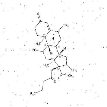 CCCC(=O)O[C@]1(C(C)=O)C(C)C[C@H]2[C@@H]3CC(C)C4=CC(=O)CC[C@]4(C)[C@@]3(Br)C(O)C[C@@]21C